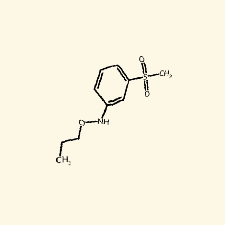 CCCONc1cccc(S(C)(=O)=O)c1